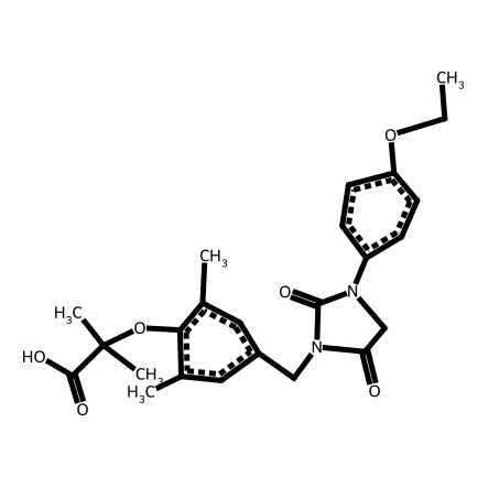 CCOc1ccc(N2CC(=O)N(Cc3cc(C)c(OC(C)(C)C(=O)O)c(C)c3)C2=O)cc1